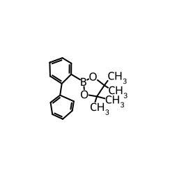 CC1(C)OB(c2ccccc2-c2ccccc2)OC1(C)C